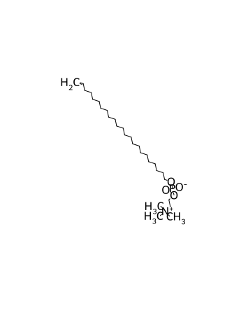 C=CCCCCCCCCCCCCCCCCCCCCCOP(=O)([O-])OCC[N+](C)(C)C